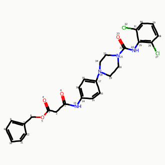 O=C(CC(=O)OCc1ccccc1)Nc1ccc(N2CCN(C(=O)Nc3c(Cl)cccc3Cl)CC2)cc1